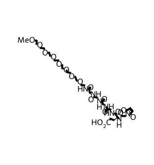 COCCOCCOCCOCCOCCOCCOCCOCCNC(=O)CNC(=O)CNC(=O)CNC(=O)CNC(=O)[C@H](CCC(=O)O)NC(=O)CN1C(=O)C=CC1=O